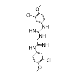 COc1ccc(NC(=N)CNC(=N)Nc2ccc(OC)c(Cl)c2)cc1Cl